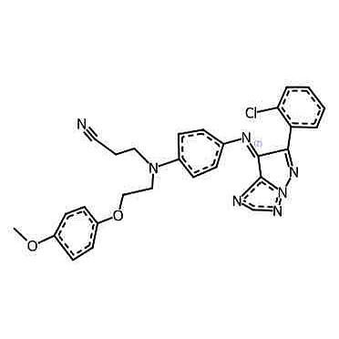 COc1ccc(OCCN(CCC#N)c2ccc(/N=C3/C(c4ccccc4Cl)=Nn4ncnc43)cc2)cc1